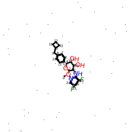 CO[C@@H]1O[C@H](c2ccc(CC3CCC3)cc2)[C@H](O)[C@H](O)[C@@H]1Nc1ncc(F)cc1F